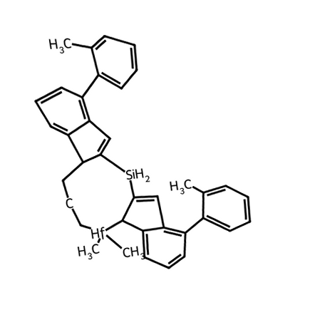 Cc1ccccc1-c1cccc2c1C=C1[SiH2]C3=Cc4c(-c5ccccc5C)cccc4[CH]3[Hf]([CH3])([CH3])[CH2]CCC12